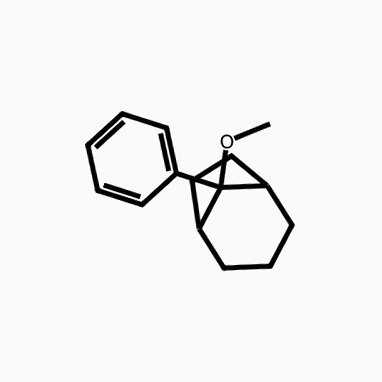 COC1(c2ccccc2)C2CCCC1CC2